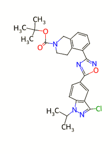 CC(C)n1nc(Cl)c2cc(-c3nc(-c4cccc5c4CCN(C(=O)OC(C)(C)C)C5)no3)ccc21